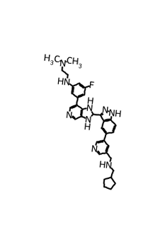 CN(C)CCNc1cc(F)cc(-c2cncc3c2NC(c2n[nH]c4ccc(-c5cncc(CNCC6CCCC6)c5)cc24)N3)c1